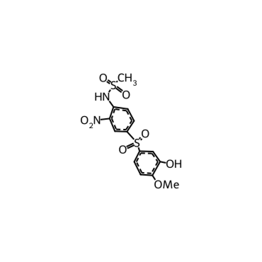 COc1ccc(S(=O)(=O)c2ccc(NS(C)(=O)=O)c([N+](=O)[O-])c2)cc1O